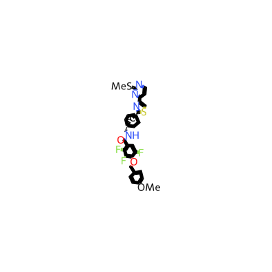 COc1ccc(COc2c(F)cc(C(=O)NC[C@]34CC[C@](c5nc(-c6ccnc(SC)n6)cs5)(CC3)CC4)c(F)c2F)cc1